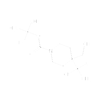 CCC1(C(C)(Cl)Cl)CCN(C(=O)OC(C)(C)C)CC1